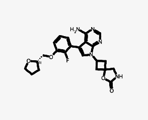 Nc1ncnc2c1c(-c1cccc(OC[C@@H]3CCCO3)c1F)cn2C1CC2(CNC(=O)O2)C1